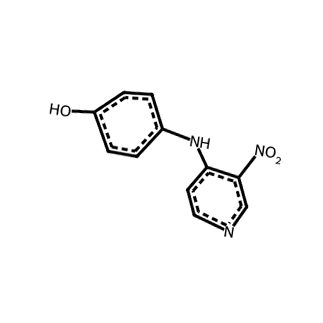 O=[N+]([O-])c1cnccc1Nc1ccc(O)cc1